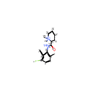 Cc1ccc(F)c(C)c1NC(=O)C1CCCC[N+]1(C)C